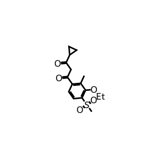 CCOc1c(S(C)(=O)=O)ccc(C(=O)CC(=O)C2CC2)c1C